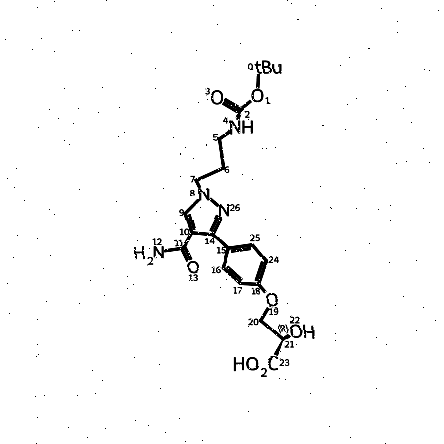 CC(C)(C)OC(=O)NCCCn1cc(C(N)=O)c(-c2ccc(OC[C@@H](O)C(=O)O)cc2)n1